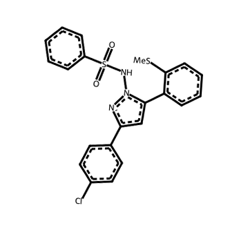 CSc1ccccc1-c1cc(-c2ccc(Cl)cc2)nn1NS(=O)(=O)c1ccccc1